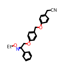 CCO/N=C(\COc1ccc(COc2ccc(CC#N)cc2)cc1)c1ccccc1